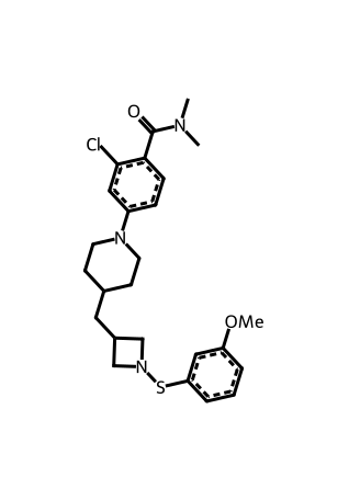 COc1cccc(SN2CC(CC3CCN(c4ccc(C(=O)N(C)C)c(Cl)c4)CC3)C2)c1